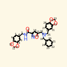 O=C(NCc1ccc2c(c1)OCO2)c1cc(CN(Cc2ccccc2)Cc2ccc3c(c2)OCO3)on1